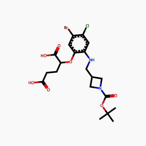 CC(C)(C)OC(=O)N1CC(CNc2cc(Cl)c(Br)cc2OC(CCC(=O)O)C(=O)O)C1